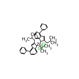 CC(C)CC1=Cc2c(-c3ccccc3)cccc2[CH]1[Zr]([Cl])([Cl])([CH]1C(CC(C)C)=Cc2c(-c3ccccc3)cccc21)=[Si](C)C